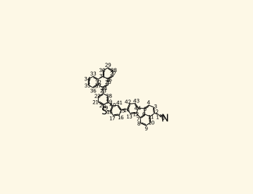 N#Cc1ccc2c3c(cccc13)-c1cc(-c3ccc4sc5ccc(-c6cc7ccccc7c7ccccc67)cc5c4c3)ccc1-2